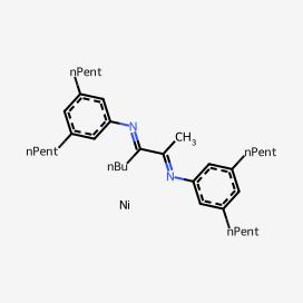 CCCCCc1cc(CCCCC)cc(/N=C(C)/C(CCCC)=N/c2cc(CCCCC)cc(CCCCC)c2)c1.[Ni]